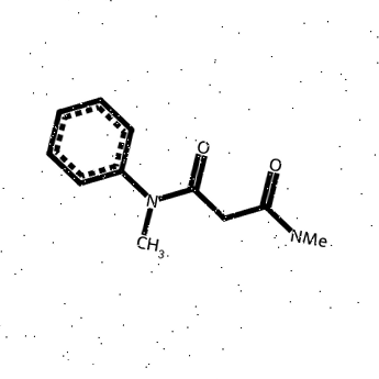 CNC(=O)CC(=O)N(C)c1ccccc1